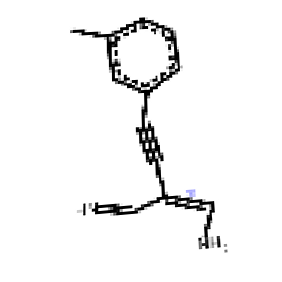 Cc1cccc(C#C/C(C=N)=C/N)c1